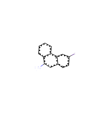 Nc1cc2ccc(I)cc2c2ccccc12